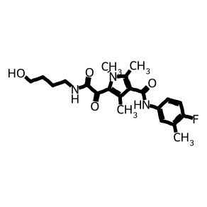 Cc1cc(NC(=O)c2c(C)c(C(=O)C(=O)NCCCCO)n(C)c2C)ccc1F